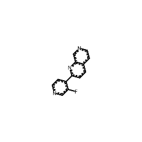 Fc1cnccc1-c1ccc2ccncc2n1